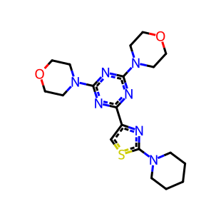 c1sc(N2CCCCC2)nc1-c1nc(N2CCOCC2)nc(N2CCOCC2)n1